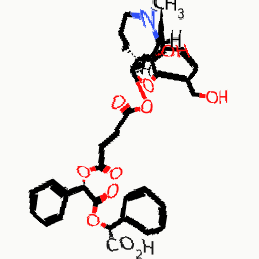 CN1CCC[C@]23c4c5ccc(CO)c4O[C@H]2C(OC(=O)CCC(=O)O[C@H](C(=O)O[C@H](C(=O)O)c2ccccc2)c2ccccc2)=CC[C@@]3(O)[C@H]1C5